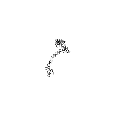 COc1cc(N2CCC(N3CCN(C[C@@H]4CCN(c5ccc6c(c5)CN(C5CCC(=O)NC5=O)C6=O)C4)CC3)CC2)c(C)cc1Nc1ncc(Br)c(Nc2cccc3c2N(S(C)(=O)=O)CC3)n1